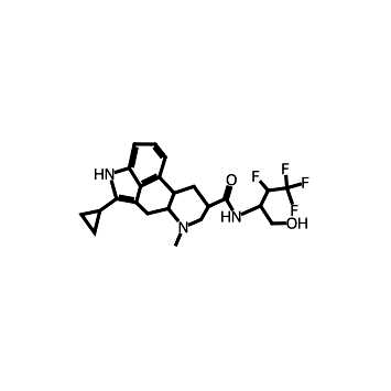 CN1CC(C(=O)NC(CO)C(F)C(F)(F)F)CC2c3cccc4[nH]c(C5CC5)c(c34)CC21